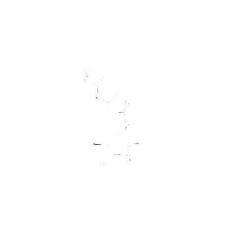 O=C(c1ccsc1)c1cnc(N[C@@H]2O[C@H](CO)[C@@H](O)[C@H](O)[C@@H]2O)s1